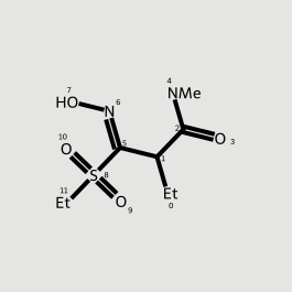 CCC(C(=O)NC)C(=NO)S(=O)(=O)CC